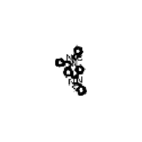 c1ccc(-c2nc3c(nc2-c2cccc(-c4nc5sc6ccccc6c5nc4-c4ccccc4)c2)oc2ccccc23)cc1